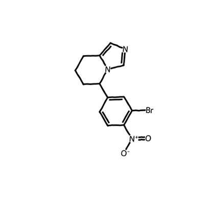 O=[N+]([O-])c1ccc(C2CCCc3cncn32)cc1Br